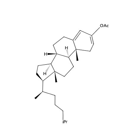 CC(=O)OC1=CC[C@@]2(C)C(=C1)CC[C@H]1[C@@H]3CC[C@H]([C@H](C)CCCC(C)C)[C@@]3(C)CC[C@@H]12